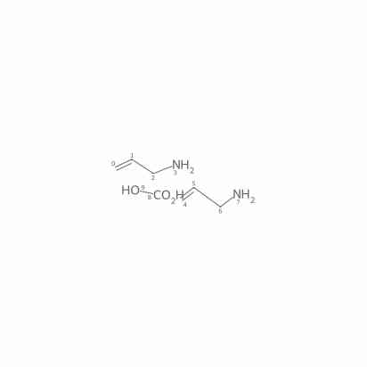 C=CCN.C=CCN.O=C(O)O